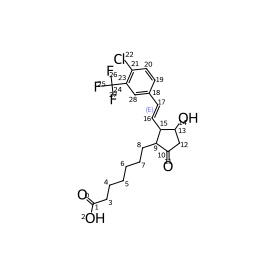 O=C(O)CCCCCCC1C(=O)CC(O)C1/C=C/c1ccc(Cl)c(C(F)(F)F)c1